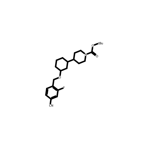 CC(C)(C)OC(=O)N1CCC(C2CCCC(OCc3ccc(C#N)cc3F)C2)CC1